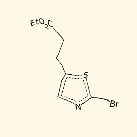 CCOC(=O)CCc1cnc(Br)s1